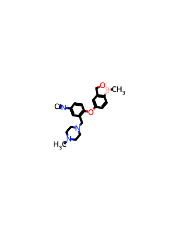 [C-]#[N+]c1ccc(Oc2ccc3c(c2)COB3C)c(CN2CCN(C)CC2)c1